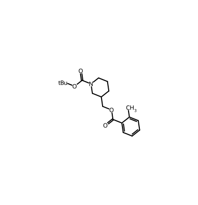 Cc1ccccc1C(=O)OCC1CCCN(C(=O)OC(C)(C)C)C1